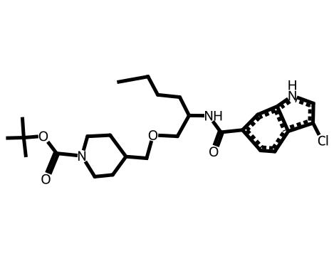 CCCCC(COCC1CCN(C(=O)OC(C)(C)C)CC1)NC(=O)c1ccc2c(Cl)c[nH]c2c1